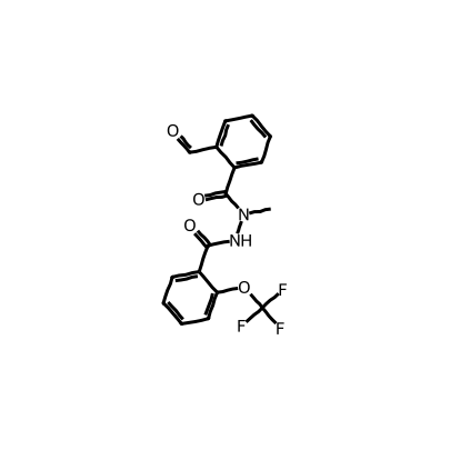 CN(NC(=O)c1ccccc1OC(F)(F)F)C(=O)c1ccccc1C=O